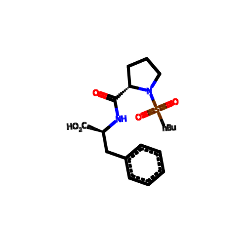 CCCCS(=O)(=O)N1CCC[C@H]1C(=O)N[C@@H](Cc1ccccc1)C(=O)O